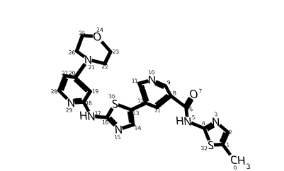 Cc1cnc(NC(=O)c2cncc(-c3cnc(Nc4cc(N5CCOCC5)ccn4)s3)c2)s1